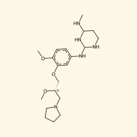 CNC1CCNC(Nc2ccc(OC)c(OC[C@H](CN3CCCC3)OC)c2)N1